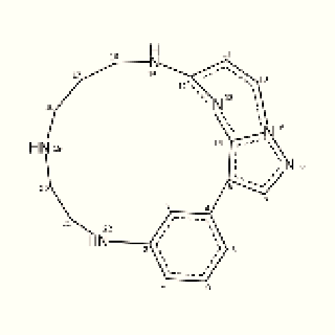 c1cc2cc(c1)-c1cnn3ccc(nc13)NCCCNCCN2